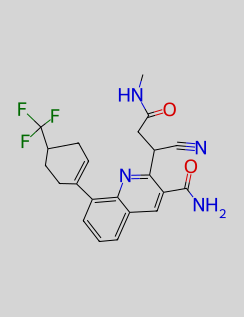 CNC(=O)CC(C#N)c1nc2c(C3=CCC(C(F)(F)F)CC3)cccc2cc1C(N)=O